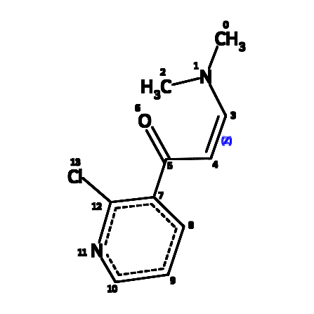 CN(C)/C=C\C(=O)c1cccnc1Cl